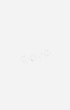 O=C(Nc1ccccc1C(F)(F)F)c1ccc(-c2ccccc2Cl)nc1